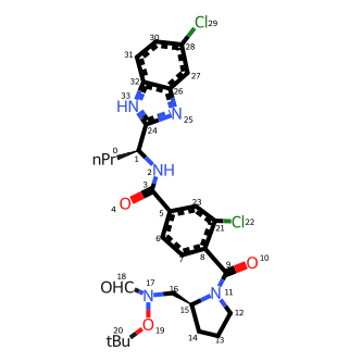 CCC[C@H](NC(=O)c1ccc(C(=O)N2CCC[C@H]2CN(C=O)OC(C)(C)C)c(Cl)c1)c1nc2cc(Cl)ccc2[nH]1